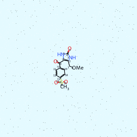 COCc1[nH]c(=O)[nH]c1C(=O)c1ccc(S(C)(=O)=O)cc1